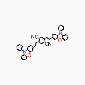 N#Cc1cc(/C=C/c2ccc3c(c2)Oc2ccccc2N3c2ccccc2)c(C#N)cc1/C=C/c1ccc2c(c1)Oc1ccccc1N2c1ccccc1